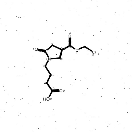 CCOC(=O)C1CC(=O)N(CCCC(=O)O)C1